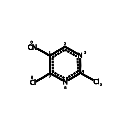 [C-]#[N+]c1cnc(Cl)nc1Cl